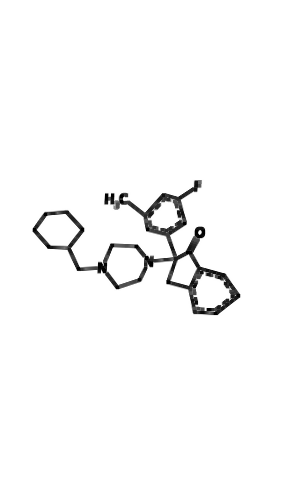 Cc1cc(F)cc(C2(N3CCN(CC4CCCCC4)CC3)Cc3ccccc3C2=O)c1